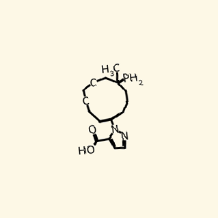 CC1(P)CCCCCCC(n2nccc2C(=O)O)CCC1